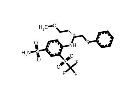 COCC[C@H](CSc1ccccc1)Nc1ccc(S(N)(=O)=O)cc1S(=O)(=O)C(F)(F)F